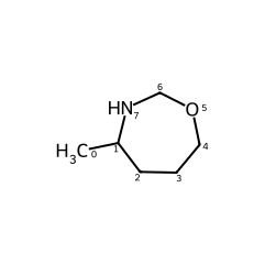 CC1CCCOCN1